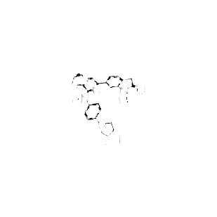 O=C1Cc2ccc(-c3cn4ccnc4c(Nc4ccc(N5CC[C@H](O)C5)cc4)n3)cc2N1